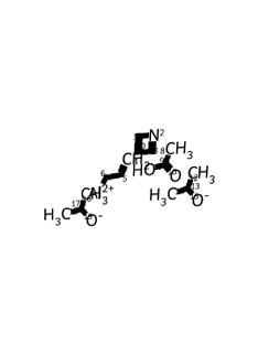 C1=CN=C1.C=C[CH2][Al+2].CC(=O)O.CC(C)[O-].CC(C)[O-]